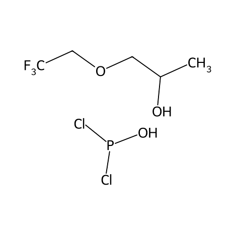 CC(O)COCC(F)(F)F.OP(Cl)Cl